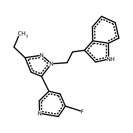 CCc1cc(-c2cncc(F)c2)n(CCc2c[nH]c3ccccc23)n1